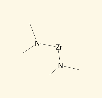 C[N](C)[Zr][N](C)C